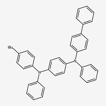 CCC(C)c1ccc(N(c2ccccc2)c2ccc(N(c3ccccc3)c3ccc(-c4ccccc4)cc3)cc2)cc1